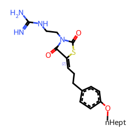 CCCCCCCOc1ccc(CC/C=C2\SC(=O)N(CCNC(=N)N)C2=O)cc1